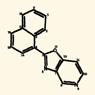 c1ccc2c(-c3nc4cnccc4o3)cccc2c1